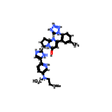 COCCN(C(=O)O)c1ccc(-c2cnc([C@@H]3CCc4nc(-c5cc(C)ccc5-n5cnnn5)cc(=O)n43)[nH]2)nc1